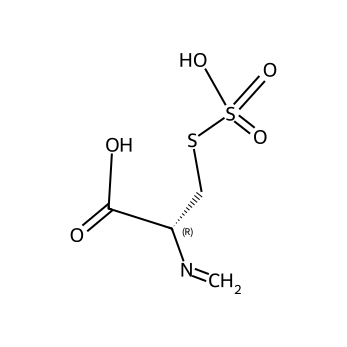 C=N[C@@H](CSS(=O)(=O)O)C(=O)O